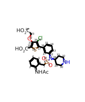 CC(=O)Nc1ccccc1CS(=O)(=O)N(c1cccc(-c2sc(C(=O)O)c(OCC(=O)O)c2Cl)c1)C1CCNCC1